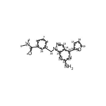 CN(C)C(=O)c1cccc(Cn2ncc3c(-c4ccco4)nc(N)nc32)c1